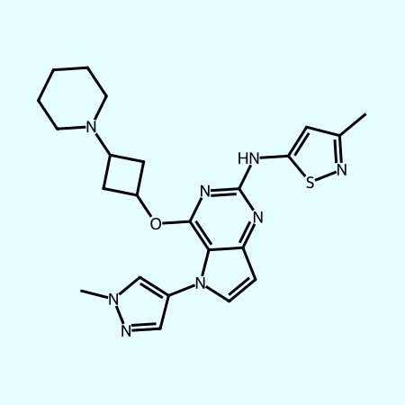 Cc1cc(Nc2nc(OC3CC(N4CCCCC4)C3)c3c(ccn3-c3cnn(C)c3)n2)sn1